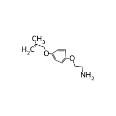 C=C(C)COc1ccc(OCCN)cc1